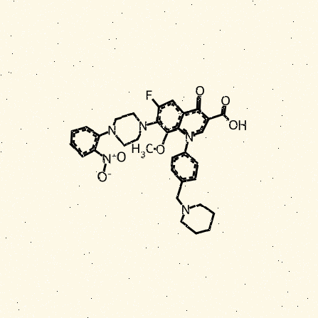 COc1c(N2CCN(c3ccccc3[N+](=O)[O-])CC2)c(F)cc2c(=O)c(C(=O)O)cn(-c3ccc(CN4CCCCC4)cc3)c12